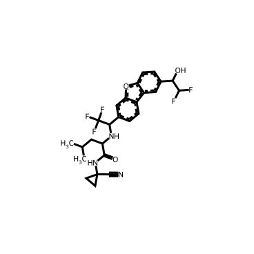 CC(C)CC(NC(c1ccc2c(c1)oc1ccc(C(O)C(F)F)cc12)C(F)(F)F)C(=O)NC1(C#N)CC1